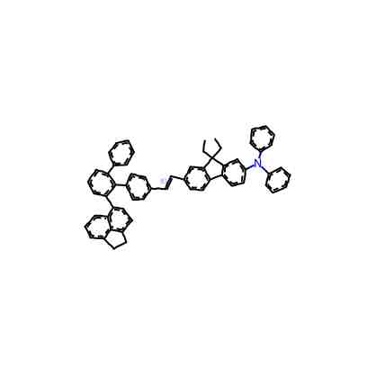 CCC1(CC)c2cc(/C=C/c3ccc(-c4c(-c5ccccc5)cccc4-c4ccc5c6c(cccc46)CC5)cc3)ccc2-c2ccc(N(c3ccccc3)c3ccccc3)cc21